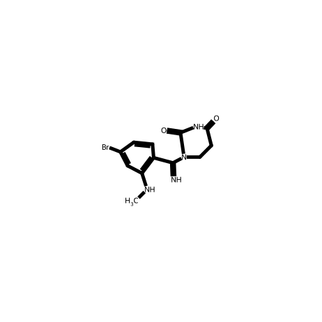 CNc1cc(Br)ccc1C(=N)N1CCC(=O)NC1=O